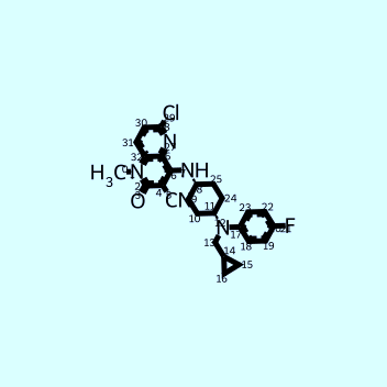 Cn1c(=O)c(C#N)c(N[C@H]2CC[C@@H](N(CC3CC3)c3ccc(F)cc3)CC2)c2nc(Cl)ccc21